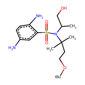 CC(CO)N(C(C)(C)CCOC(C)(C)C)S(=O)(=O)c1cc(N)ccc1N